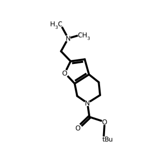 CN(C)Cc1cc2c(o1)CN(C(=O)OC(C)(C)C)CC2